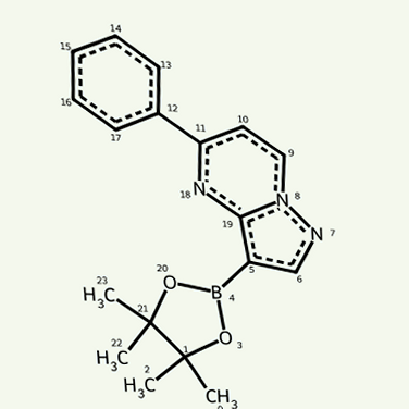 CC1(C)OB(c2cnn3ccc(-c4ccccc4)nc23)OC1(C)C